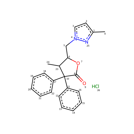 Cc1ccn(CC2OC(=O)C(c3ccccc3)(c3ccccc3)C2C)n1.Cl